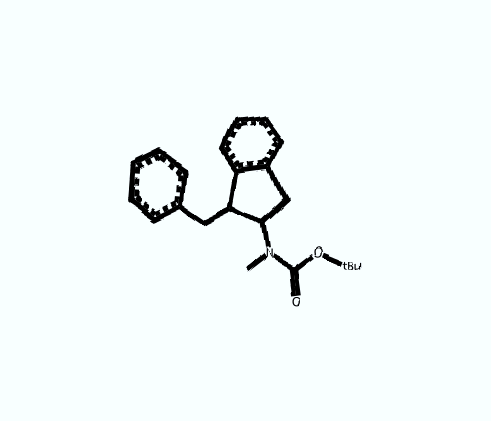 CN(C(=O)OC(C)(C)C)C1Cc2ccccc2C1Cc1ccccc1